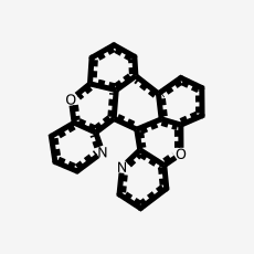 c1cnc2c(c1)oc1cccc3c4cccc5oc6cccnc6c(c54)c2c13